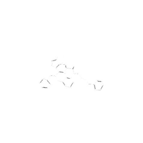 Cc1[nH]c2c(N(Cc3ccccc3)Cc3ccccc3)nc(C(=O)NCCOCc3ccccc3)cc2c1C